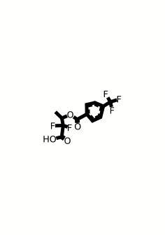 CC(OC(=O)c1ccc(C(F)(F)F)cc1)C(F)(F)C(=O)O